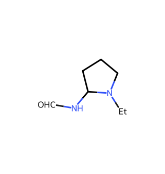 CCN1CCCC1NC=O